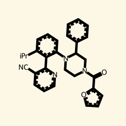 CC(C)c1cccc(N2CCN(C(=O)c3ccco3)CC2c2ccccc2)c1-c1ncccc1C#N